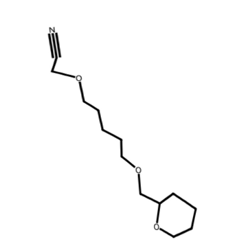 N#CCOCCCCCOCC1CCCCO1